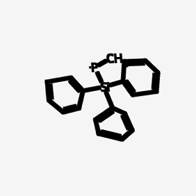 C[P][Si](c1ccccc1)(c1ccccc1)c1ccccc1